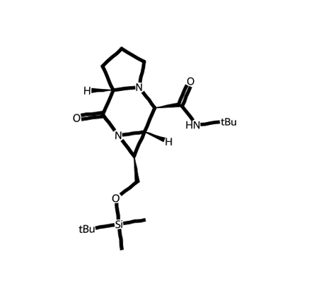 CC(C)(C)NC(=O)[C@H]1[C@@H]2[C@@H](CO[Si](C)(C)C(C)(C)C)N2C(=O)[C@@H]2CCCN21